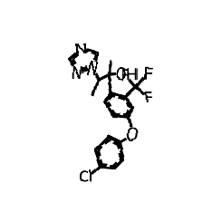 CC(n1cncn1)C(C)(O)c1ccc(Oc2ccc(Cl)cc2)cc1C(F)(F)F